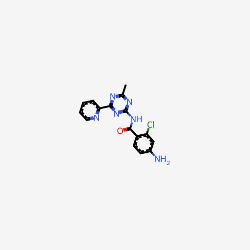 Cc1nc(NC(=O)c2ccc(N)cc2Cl)nc(-c2ccccn2)n1